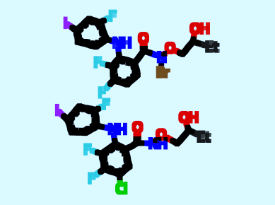 CCC(O)CON(Br)C(=O)c1ccc(F)c(F)c1Nc1ccc(I)cc1F.CCC(O)CONC(=O)c1cc(Cl)c(F)c(F)c1Nc1ccc(I)cc1F